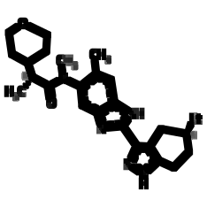 CC[C@H]1CCc2[nH]nc(-c3nc4cc(N(C)C(=O)[C@H](C)C5CCOCC5)c(C)cc4[nH]3)c2C1